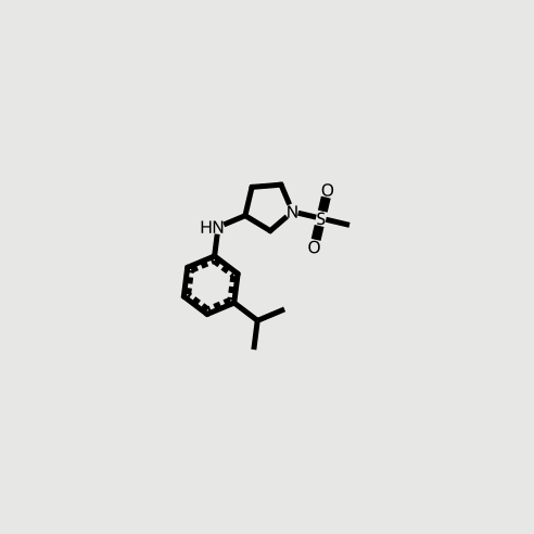 CC(C)c1cccc(NC2CCN(S(C)(=O)=O)C2)c1